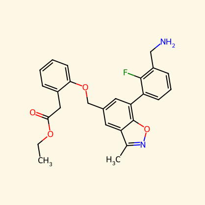 CCOC(=O)Cc1ccccc1OCc1cc(-c2cccc(CN)c2F)c2onc(C)c2c1